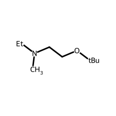 CCN(C)CCOC(C)(C)C